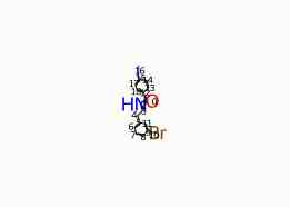 O=C(NCCc1cccc(Br)c1)c1ccc(I)cc1